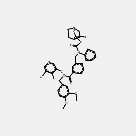 COc1ccc([C@H](Cc2c(Cl)cncc2Cl)OC(=O)c2cccc(CN(C(=O)O[C@H]3CN4CCC3CC4)c3ccccc3)c2)cc1OC